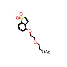 CC(=O)OCCOCCOc1cccc2c1C=CS2(=O)=O